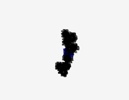 c1ccc2c(c1)-c1ccc(-c3ccc(-n4nc5cc(-c6ccc7c(c6)C6(CCCCC6)c6ccccc6-7)c6ccccc6c5n4)cc3)cc1C21CCCCC1